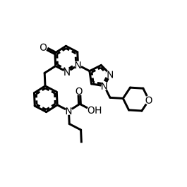 CCCN(C(=O)O)c1cccc(Cc2nn(-c3cnn(CC4CCOCC4)c3)ccc2=O)c1